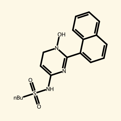 CCCCS(=O)(=O)NC1=CCN(O)C(c2cccc3ccccc23)=N1